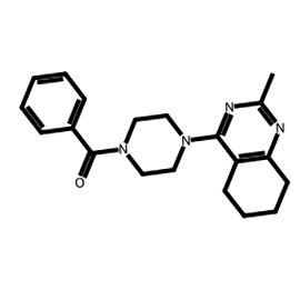 Cc1nc2c(c(N3CCN(C(=O)c4ccccc4)CC3)n1)CCCC2